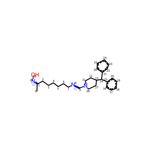 C/C(CCCCCC/N=C/N1CCC(C(c2ccccc2)c2ccccc2)CC1)=N/O